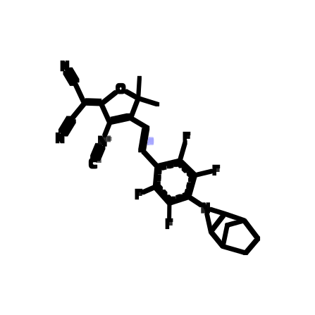 [C-]#[N+]C1=C(/C=C/c2c(F)c(F)c(N3C4C5CCC(C5)C43)c(F)c2F)C(C)(C)OC1=C(C#N)C#N